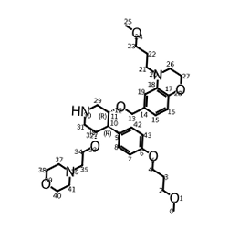 COCCCOc1ccc([C@@H]2[C@@H](OCc3ccc4c(c3)N(CCCOC)CCO4)CNC[C@H]2OCCN2CCOCC2)cc1